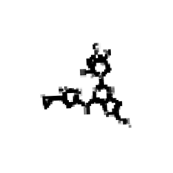 Cc1cc2nc(N3C[C@@H]4C[C@H]3CN4C)nc(Nc3cc(C4CC4)[nH]n3)c2s1